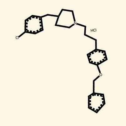 Cl.Clc1ccc(CC2CCN(CCCc3ccc(OCc4ccccc4)cc3)CC2)cc1